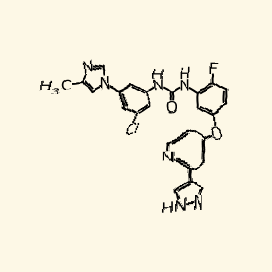 Cc1cn(-c2cc(Cl)cc(NC(=O)Nc3cc(Oc4ccnc(-c5cn[nH]c5)c4)ccc3F)c2)cn1